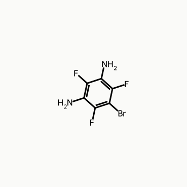 Nc1c(F)c(N)c(F)c(Br)c1F